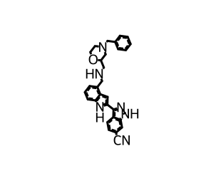 N#Cc1ccc2c(-c3cc4c(CNCC5CN(Cc6ccccc6)CCO5)cccc4[nH]3)n[nH]c2c1